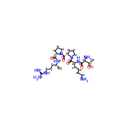 CC(=O)[C@H](CCCNC(=N)N)NC(=O)[C@@H]1CCCN1C(=O)[C@@H]1CCCN1C(=O)[C@H](CCCCN)NC(=O)[C@@H](N)[C@@H](C)O